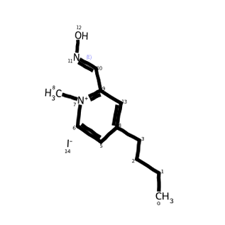 CCCCc1cc[n+](C)c(/C=N/O)c1.[I-]